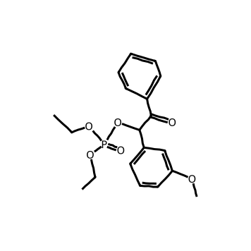 CCOP(=O)(OCC)OC(C(=O)c1ccccc1)c1cccc(OC)c1